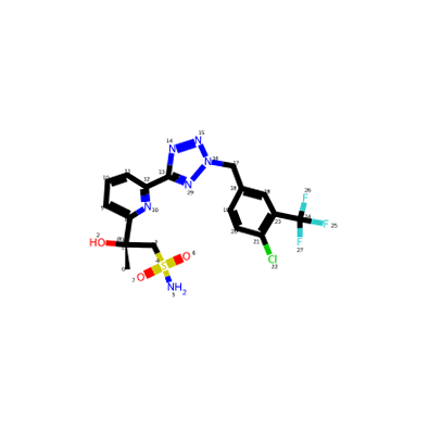 C[C@](O)(CS(N)(=O)=O)c1cccc(-c2nnn(Cc3ccc(Cl)c(C(F)(F)F)c3)n2)n1